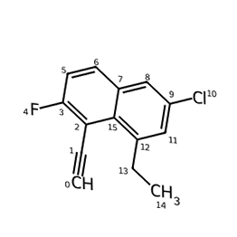 C#Cc1c(F)ccc2cc(Cl)cc(CC)c12